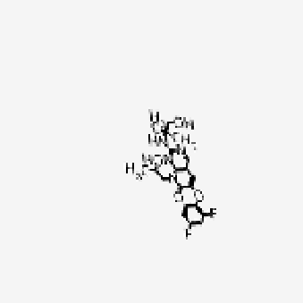 CC(O)Cn1c(=O)c(Oc2ccc(F)cc2F)cc2cnc(NC(C)(C)CO)nc21